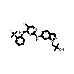 CC(C)(O)Cn1ncc2ccc(Nc3ncc(Cl)c(Nc4ccccc4P(C)(C)=O)n3)cc21